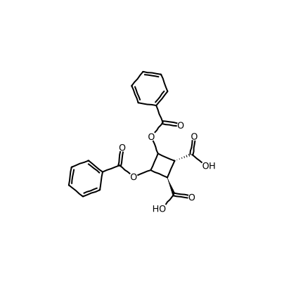 O=C(OC1C(OC(=O)c2ccccc2)[C@H](C(=O)O)[C@H]1C(=O)O)c1ccccc1